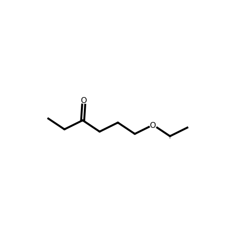 C[CH]OCCCC(=O)CC